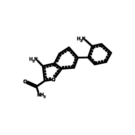 NC(=O)c1oc2cc(-c3ccccc3N)ccc2c1N